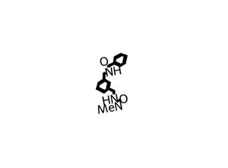 CNC(=O)NCc1cccc(CNC(=O)c2ccccc2)c1